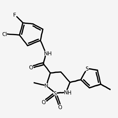 Cc1csc(C2CC(C(=O)Nc3ccc(F)c(Cl)c3)N(C)S(=O)(=O)N2)c1